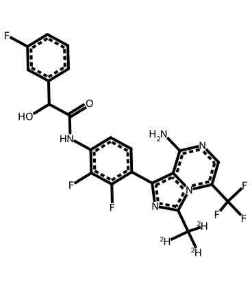 [2H]C([2H])([2H])c1nc(-c2ccc(NC(=O)C(O)c3cccc(F)c3)c(F)c2F)c2c(N)ncc(C(F)(F)F)n12